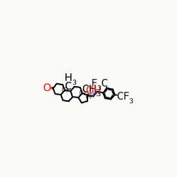 C[C@]12CCC(=O)CC1CCC1C2CC[C@@]2(C)C1CC[C@@]2(O)/C=C/c1ccc(C(F)(F)F)cc1C(F)(F)F